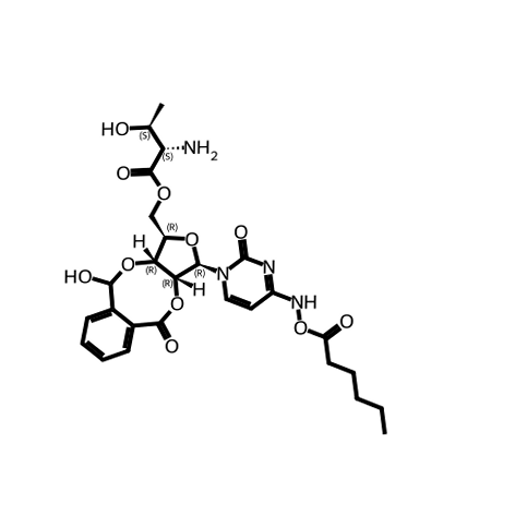 CCCCCC(=O)ONc1ccn([C@@H]2O[C@H](COC(=O)[C@@H](N)[C@H](C)O)[C@H]3OC(O)c4ccccc4C(=O)O[C@H]32)c(=O)n1